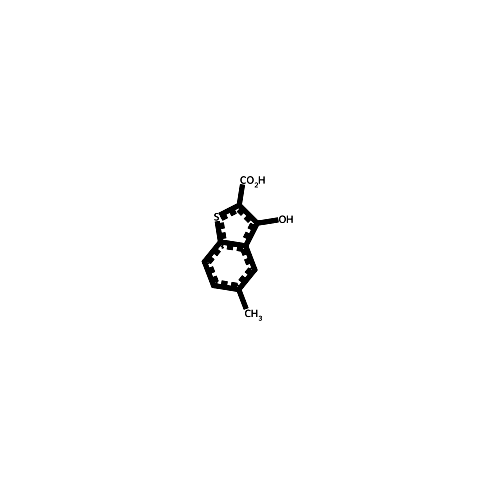 Cc1ccc2sc(C(=O)O)c(O)c2c1